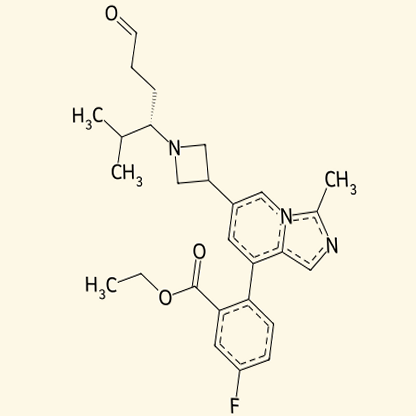 CCOC(=O)c1cc(F)ccc1-c1cc(C2CN([C@@H](CCC=O)C(C)C)C2)cn2c(C)ncc12